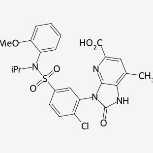 COc1ccccc1N(C(C)C)S(=O)(=O)c1ccc(Cl)c(-n2c(=O)[nH]c3c(C)cc(C(=O)O)nc32)c1